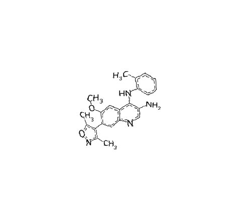 COc1cc2c(Nc3ccccc3C)c(N)cnc2cc1-c1c(C)noc1C